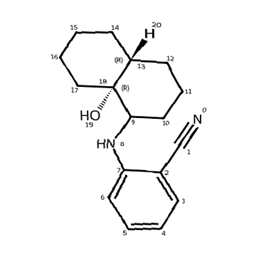 N#Cc1ccccc1NC1CCC[C@H]2CCCC[C@]12O